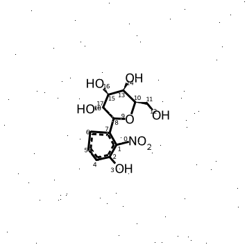 O=[N+]([O-])c1c(O)cccc1C1O[C@H](CO)[C@H](O)[C@H](O)[C@H]1O